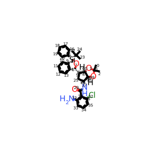 CC1(C)O[C@@H]2[C@@H](CO[Si](c3ccccc3)(c3ccccc3)C(C)(C)C)C[C@@H](NC(=O)c3c(N)cccc3Cl)[C@@H]2O1